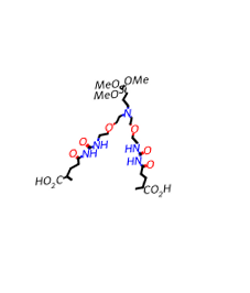 CO[Si](CCCN(CCOCCNC(=O)NC(=O)CCC(C)C(=O)O)CCOCCNC(=O)NC(=O)CCC(C)C(=O)O)(OC)OC